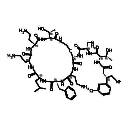 CC(C)C[C@@H]1NC(=O)[C@@H](Cc2ccccc2)NC(=O)[C@H](CCN)NC(=O)[C@@H](NC(=O)[C@H](CN)NC(=O)[C@@H](NC(=O)C[C@H](CN)c2cccc(Cl)c2)[C@@H](C)O)CCNC(=O)[C@H]([C@@H](C)O)NC(=O)[C@H](CCN)NC(=O)[C@H](CCN)NC1=O